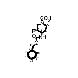 O=C(N[C@H]1CCN(C(=O)O)C[C@H]1F)OCc1ccccc1